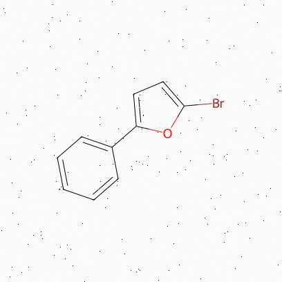 Brc1ccc(-c2cc[c]cc2)o1